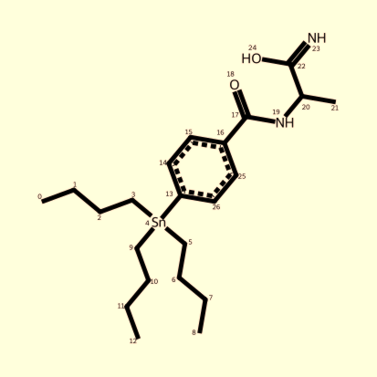 CCC[CH2][Sn]([CH2]CCC)([CH2]CCC)[c]1ccc(C(=O)NC(C)C(=N)O)cc1